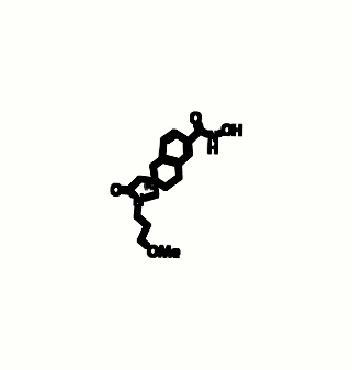 COCCCN1C[C@@]2(CCc3cc(C(=O)NO)ccc3C2)CC1=O